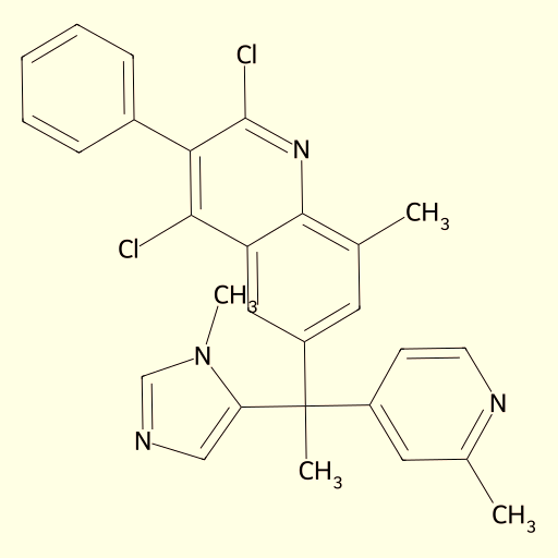 Cc1cc(C(C)(c2cc(C)c3nc(Cl)c(-c4ccccc4)c(Cl)c3c2)c2cncn2C)ccn1